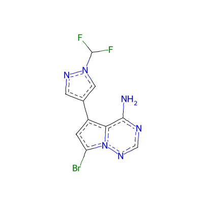 Nc1ncnn2c(Br)cc(-c3cnn(C(F)F)c3)c12